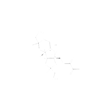 C=C(C)C(=O)OC[C@]12O[C@@H]3COC(C)(CC(=O)OCC)O[C@H]3[C@@H]1OC(C)(CC(=O)OCC)O2